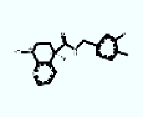 O=C(NCc1ccc(F)c(F)c1)[C@]1(F)CC[C@H](O)c2ncccc21